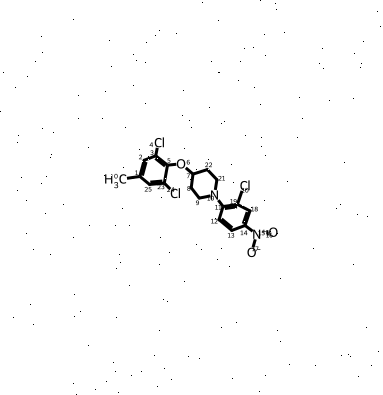 Cc1cc(Cl)c(OC2CCN(c3ccc([N+](=O)[O-])cc3Cl)CC2)c(Cl)c1